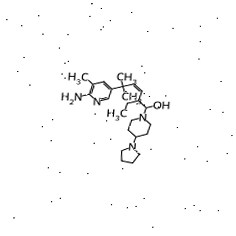 CCC(/C=C\C(C)(C)c1cnc(N)c(C)c1)C(O)N1CCC(N2CCCC2)CC1